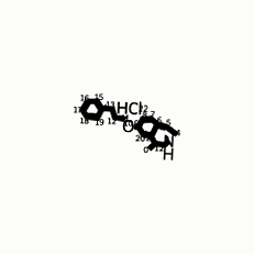 CC1CNCC=C2C=CC(OCCCc3ccccc3)C=C21.Cl